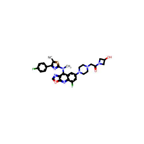 CN(c1nc(-c2ccc(F)cc2)c(C#N)s1)c1c2cc(N3CCN(CC(=O)N4CC(O)C4)CC3)cc(F)c2nc2ocnc12